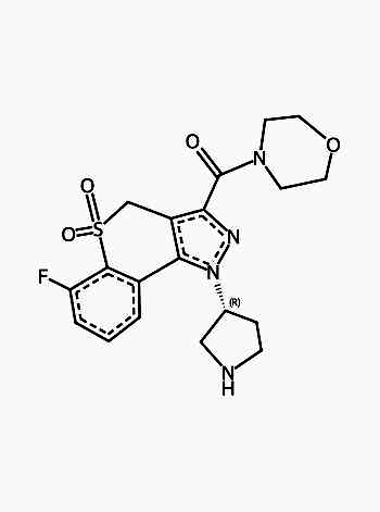 O=C(c1nn([C@@H]2CCNC2)c2c1CS(=O)(=O)c1c(F)cccc1-2)N1CCOCC1